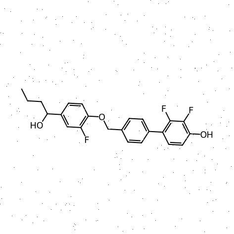 CCCC(O)c1ccc(OCc2ccc(-c3ccc(O)c(F)c3F)cc2)c(F)c1